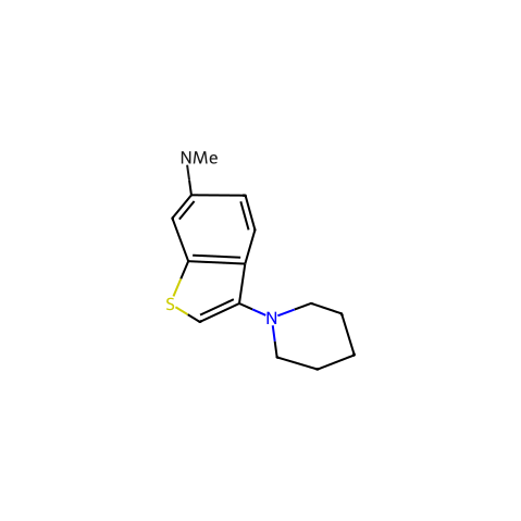 CNc1ccc2c(N3CCCCC3)csc2c1